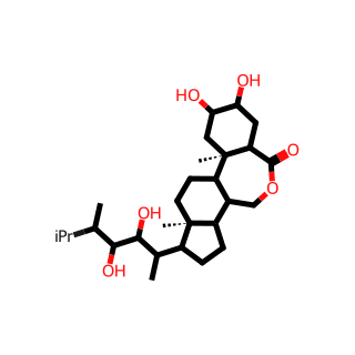 CC(C)C(C)C(O)C(O)C(C)C1CCC2C3COC(=O)C4CC(O)C(O)C[C@]4(C)C3CC[C@]12C